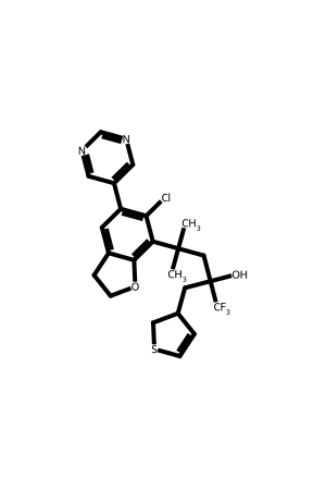 CC(C)(CC(O)(CC1C=CSC1)C(F)(F)F)c1c(Cl)c(-c2cncnc2)cc2c1OCC2